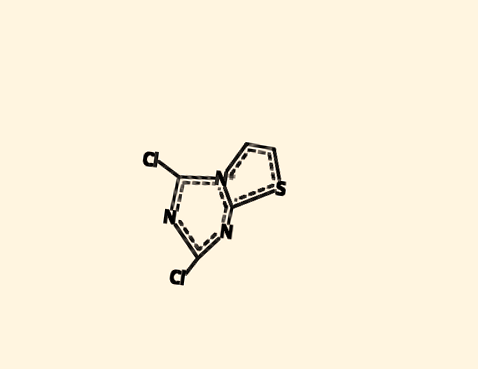 Clc1nc(Cl)[n+]2ccsc2n1